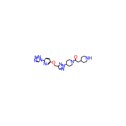 O=C(CC1CCNCC1)N1CCC(n2ncc(COc3ccc(-n4cnnn4)nc3)n2)CC1